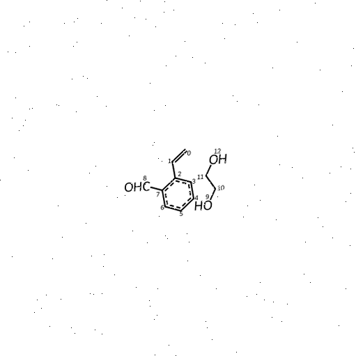 C=Cc1ccccc1C=O.OCCO